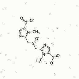 Cn1c([N+](=O)[O-])cnc1C[S+]([O-])Cc1ncc([N+](=O)[O-])n1C